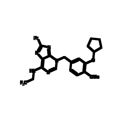 COc1ccc(Cn2cnc(NCC(F)(F)F)c3nc(C(C)C)nc2-3)cc1OC1CCCC1